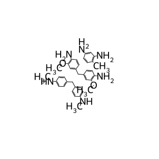 CNc1ccc(Cc2ccc(NC)cc2)cc1.COc1cc(Cc2ccc(N)c(OC)c2)ccc1N.Cc1ccc(N)cc1N